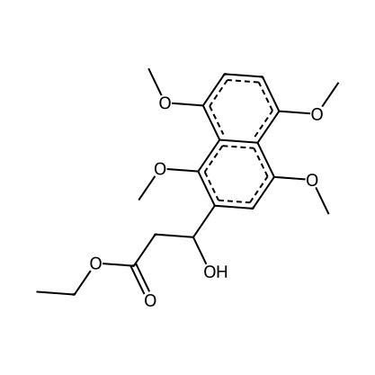 CCOC(=O)CC(O)c1cc(OC)c2c(OC)ccc(OC)c2c1OC